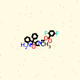 C[N+]1(CCOC(=O)c2cc(F)ccc2F)CC[C@@H](C(C(N)=O)(c2ccccc2)c2ccccc2)C1